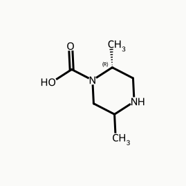 CC1CN(C(=O)O)[C@H](C)CN1